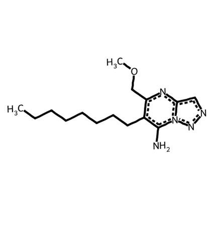 CCCCCCCCc1c(COC)nc2cnnn2c1N